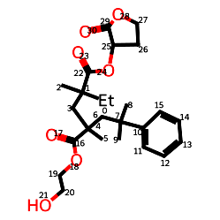 CCC(C)(CC(C)(CC(C)(C)c1ccccc1)C(=O)OCCO)C(=O)OC1CCOC1=O